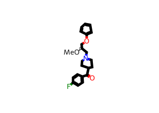 CO[C@H](COc1ccccc1)CN1CCC(C(=O)c2ccc(F)cc2)CC1